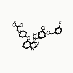 COC(=O)CN1CCC(Oc2cccc3ncnc(Nc4ccc(OCc5cccc(F)c5)c(Cl)c4)c23)CC1